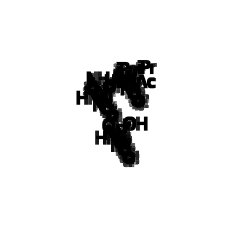 CC(=O)Nc1ccc(Nc2nc3cc4ccccc4cc3nc2Nc2ccc(NC(C)=O)cc2)cc1.CC(C)CCNc1nc2cc3ccccc3cc2nc1NCCC(C)C.OCCNc1nc2cc3ccccc3cc2nc1NCCO